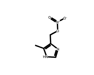 Cc1[nH]cnc1CO[N+](=O)[O-]